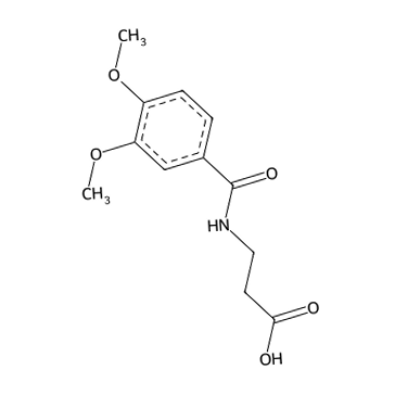 COc1ccc(C(=O)NCCC(=O)O)cc1OC